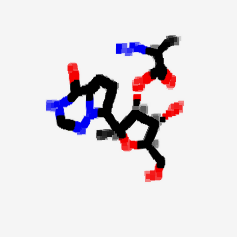 CC(C)[C@H](N)C(=O)O[C@@H]1[C@H](O)[C@@H](CO)O[C@@]1(C#N)c1ccc2c(=O)[nH]cnn12